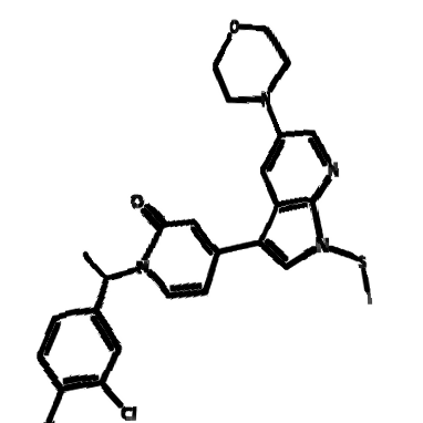 CC(c1ccc(Cl)c(Cl)c1)n1ccc(-c2cn(SI)c3ncc(N4CCOCC4)cc23)cc1=O